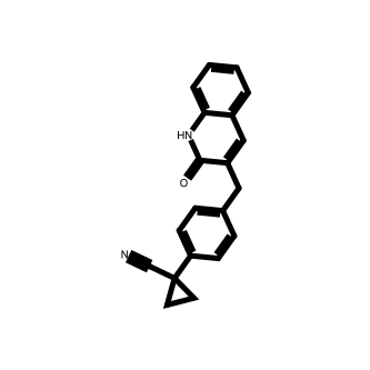 N#CC1(c2ccc(Cc3cc4ccccc4[nH]c3=O)cc2)CC1